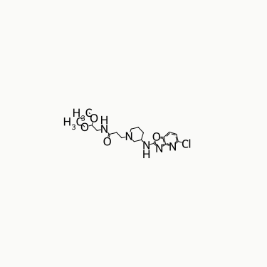 COC(CNC(=O)CCN1CCC[C@@H](Nc2nc3nc(Cl)ccc3o2)C1)OC